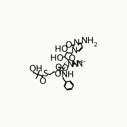 CC(C)(CO)C(=O)SCCOP(=O)(NCc1ccccc1)OC[C@@]1(N=[N+]=[N-])O[C@@H](n2ccc(N)nc2=O)C(O)C1O